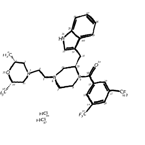 C[C@@H]1CN(CCN2CCN(C(=O)c3cc(C(F)(F)F)cc(C(F)(F)F)c3)[C@H](Cc3c[nH]c4ccccc34)C2)C[C@H](C)O1.Cl.Cl